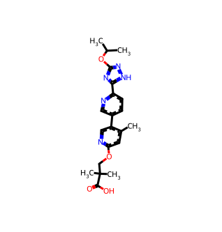 Cc1cc(OCC(C)(C)C(=O)O)ncc1-c1ccc(-c2nc(OC(C)C)n[nH]2)nc1